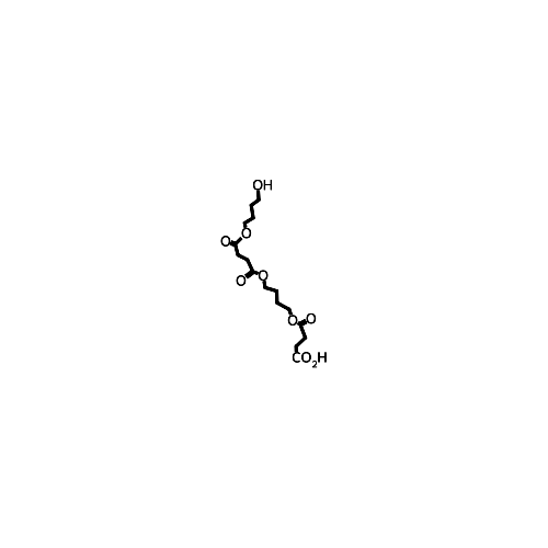 O=C(O)CCC(=O)OCCCCOC(=O)CCC(=O)OCCCCO